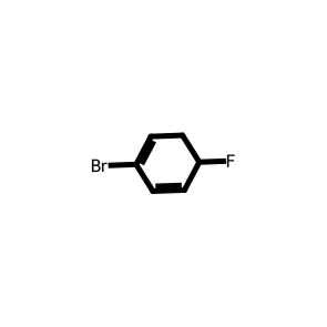 FC1C=CC(Br)=CC1